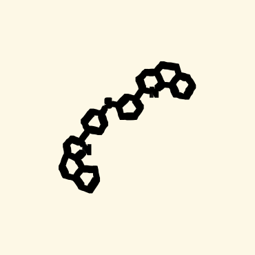 c1cc(Sc2ccc(-c3ccc4ccc5ccccc5c4n3)cc2)cc(-c2ccc3ccc4ccccc4c3n2)c1